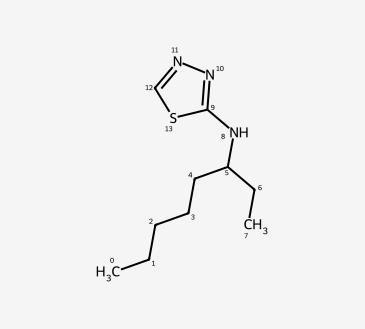 CCCCCC(CC)Nc1nncs1